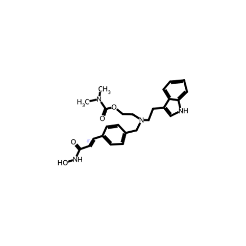 CN(C)C(=O)OCCN(CCc1c[nH]c2ccccc12)Cc1ccc(/C=C/C(=O)NO)cc1